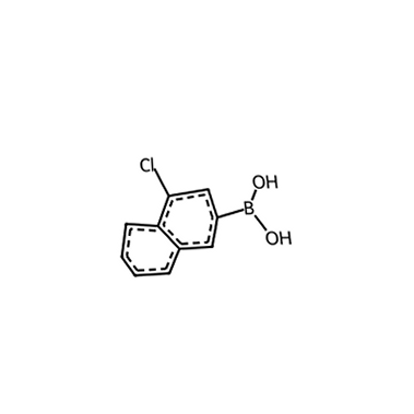 OB(O)c1cc(Cl)c2ccccc2c1